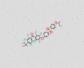 CCC(C)Oc1ccc(S(=O)(=O)c2ccc(Oc3c(F)c(F)c(C(=O)c4c(F)c(F)c(C(C)(CC)CC)c(F)c4F)c(F)c3F)cc2)cc1